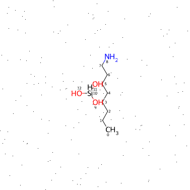 CCCCCCCCN.O[SiH](O)O